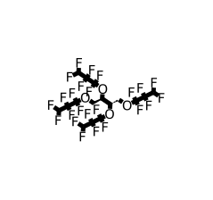 FC(F)C(F)(F)C(F)(F)OC[C@H](OC(F)(F)C(F)(F)C(F)F)[C@@H](COC(F)(F)C(F)(F)C(F)F)OC(F)(F)C(F)(F)C(F)F